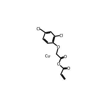 C=CC(=O)OC(=O)COc1ccc(Cl)cc1Cl.[Cu]